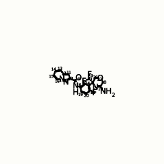 NC1=N[C@@](c2cc(NC(=O)c3cc4ccccn4n3)ccc2F)(C(F)F)COC1